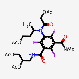 CNC(=O)c1c(I)c(C(=O)NCC(COC(C)=O)OC(C)=O)c(I)c(N(C(=O)COC(C)=O)C(C)CCOC(C)=O)c1I